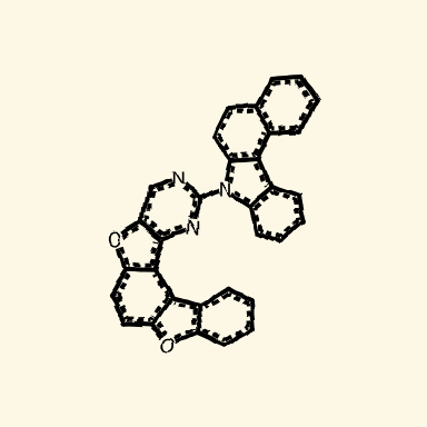 c1ccc2c(c1)ccc1c2c2ccccc2n1-c1ncc2oc3ccc4oc5ccccc5c4c3c2n1